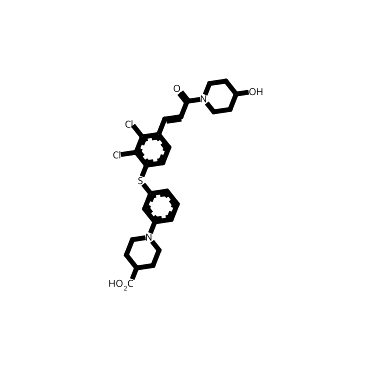 O=C(O)C1CCN(c2cccc(Sc3ccc(C=CC(=O)N4CCC(O)CC4)c(Cl)c3Cl)c2)CC1